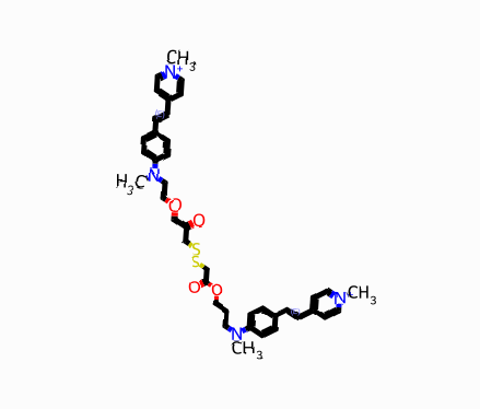 CN(CCCOC(=O)CSSCC(=O)COCCN(C)c1ccc(/C=C/c2cc[n+](C)cc2)cc1)c1ccc(/C=C/c2cc[n+](C)cc2)cc1